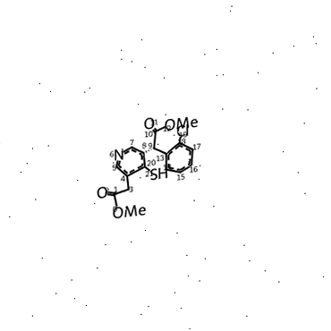 COC(=O)Cc1cncc([C@H](C(=O)OC)c2ccccc2Cl)c1S